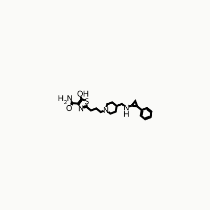 NC(=O)c1nc(CCCN2CCC(CNC3CC3c3ccccc3)CC2)sc1O